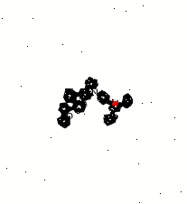 c1ccc(-c2cc(-c3ccccc3)nc(-c3ccc(-n4c5ccccc5c5cc(-c6ccccc6-c6ccccc6-c6cccc7c6oc6ccccc67)ccc54)cc3)c2)cc1